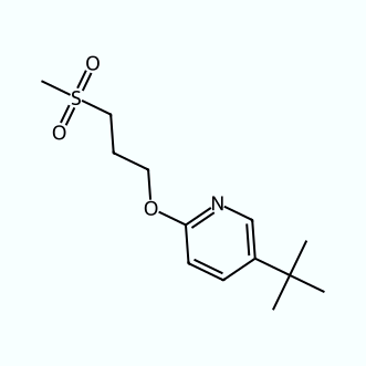 CC(C)(C)c1ccc(OCCCS(C)(=O)=O)nc1